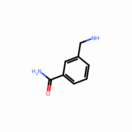 [NH]Cc1cccc(C(N)=O)c1